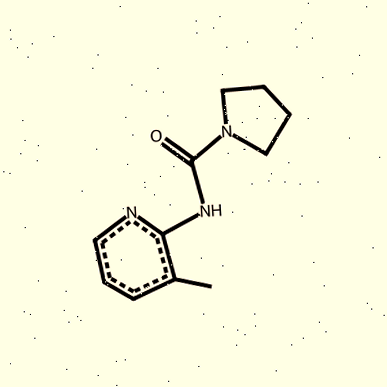 Cc1cccnc1NC(=O)N1CCCC1